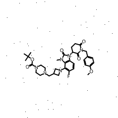 COc1ccc(CN2C(=O)CCC(n3c(=O)n(C)c4c(N5CC(CN6CCN(C(=O)OC(C)(C)C)CC6)C5)c(F)ccc43)C2=O)cc1